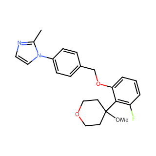 COC1(c2c(F)cccc2OCc2ccc(-n3ccnc3C)cc2)CCOCC1